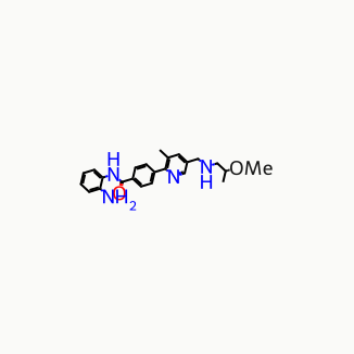 COC(C)CNCc1cnc(-c2ccc(C(=O)Nc3ccccc3N)cc2)c(C)c1